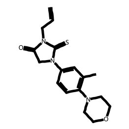 C=CCN1C(=O)CN(c2ccc(N3CCOCC3)c(C)c2)C1=S